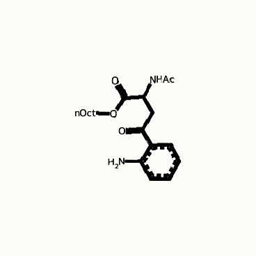 CCCCCCCCOC(=O)C(CC(=O)c1ccccc1N)NC(C)=O